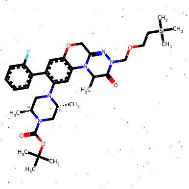 CC1C(=O)N(COCC[Si](C)(C)C)N=C2COc3cc(-c4ccccc4F)c(N4C[C@H](C)N(C(=O)OC(C)(C)C)C[C@H]4C)cc3N21